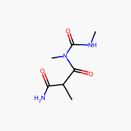 CNC(=O)N(C)C(=O)[C](C)C(N)=O